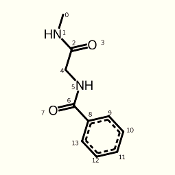 CNC(=O)CNC(=O)c1ccccc1